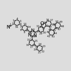 N#Cc1cccc(-c2ccc(-c3nc(-c4cccc(-c5ccccc5)c4)nc(-c4ccc5c(c4)oc4cccc(-c6ccccc6-c6ccccc6)c45)n3)cc2)c1